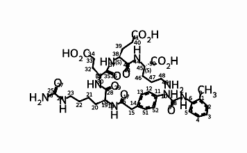 Cc1ccccc1NC(=O)Nc1ccc(CC(=O)N[C@@H](CCCCNC(N)=O)C(=O)N[C@@H](CCC(=O)O)C(=O)N[C@@H](CCC(=O)O)C(=O)N[C@@H](CCCN)C(=O)O)cc1